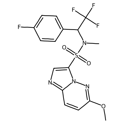 COc1ccc2ncc(S(=O)(=O)N(C)C(c3ccc(F)cc3)C(F)(F)F)n2n1